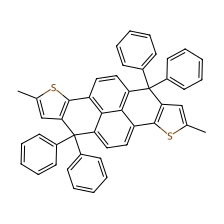 Cc1cc2c(s1)-c1ccc3c4c(ccc(c14)C2(c1ccccc1)c1ccccc1)-c1sc(C)cc1C3(c1ccccc1)c1ccccc1